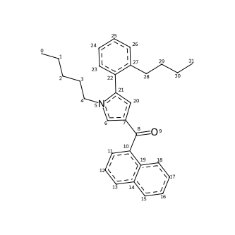 CCCCCn1cc(C(=O)c2cccc3ccccc23)cc1-c1ccccc1CCCC